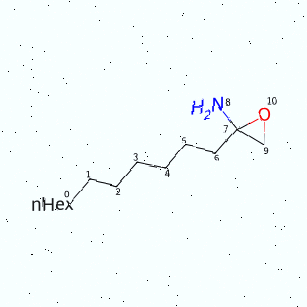 CCCCCCCCCCCCC1(N)CO1